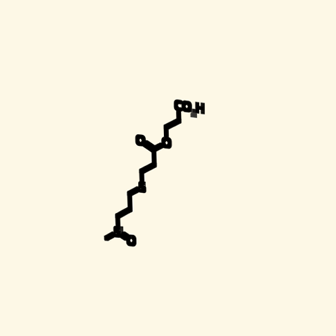 C[Si](=O)CCCSCCC(=O)OCCC(=O)O